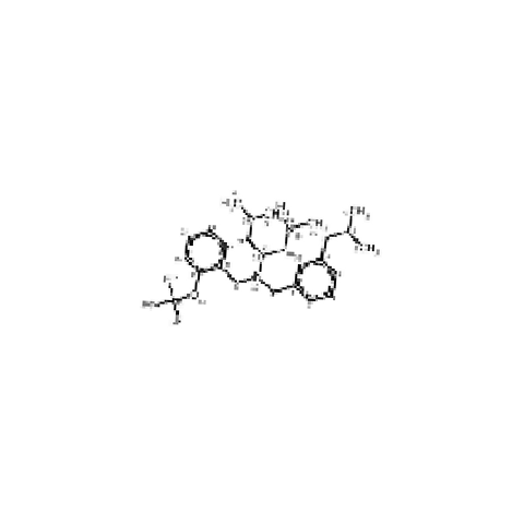 CC(C)Cc1cccc(CN(Cc2ccccc2OC(F)(F)F)[C@@H](CC(C)C)CN(C)C)c1